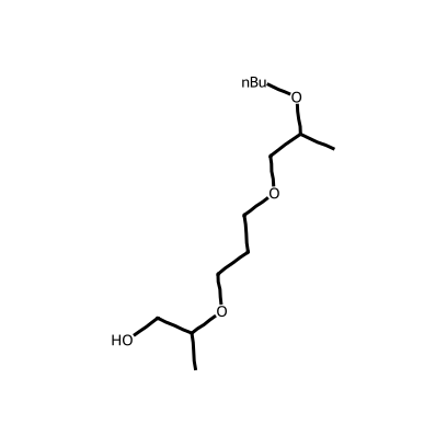 CCCCOC(C)COCCCOC(C)CO